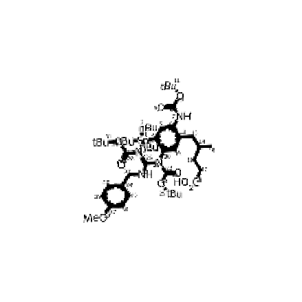 CCC[CH2][Sn]([CH2]CCC)([CH2]CCC)[c]1cc(NC(=O)OC(C)(C)C)c(CC(C)CCC(=O)O)cc1N(C(=O)OC(C)(C)C)/C(=N/C(=O)OC(C)(C)C)NCc1ccc(OC)cc1